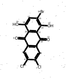 O=C1c2cc(Cl)c(Cl)cc2C(=O)c2c(O)c(Br)cc(O)c21